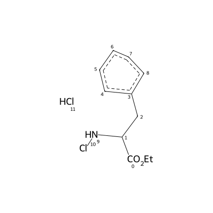 CCOC(=O)C(Cc1ccccc1)NCl.Cl